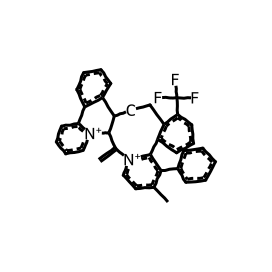 C=C1C2C(CCc3c(cccc3C(F)(F)F)-c3c(-c4ccccc4)c(C)cc[n+]31)c1ccccc1-c1cccc[n+]12